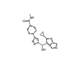 CNC(=O)c1ccc(-n2cc(C(O)c3c(C4CC4)sc4cncn34)nn2)cc1